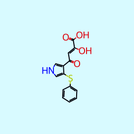 O=C(O)C(O)=CC(=O)c1c[nH]cc1Sc1ccccc1